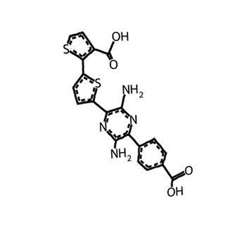 Nc1nc(-c2ccc(-c3sccc3C(=O)O)s2)c(N)nc1-c1ccc(C(=O)O)cc1